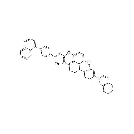 C1=Cc2ccc(C3=CC4=C(CC3)C3=c5c(ccc6c5=C(CC3)c3ccc(-c5ccc(-c7cccc8ccccc78)cc5)cc3O6)O4)cc2CC1